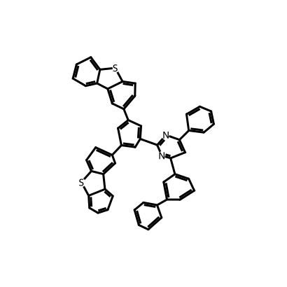 c1ccc(-c2cccc(-c3cc(-c4ccccc4)nc(-c4cc(-c5ccc6sc7ccccc7c6c5)cc(-c5ccc6sc7ccccc7c6c5)c4)n3)c2)cc1